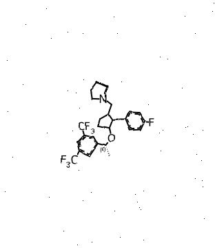 C[C@@H](OC1CCC(CN2CCCC2)C1c1ccc(F)cc1)c1cc(C(F)(F)F)cc(C(F)(F)F)c1